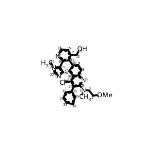 COCCN(C)c1nc2ccc(-c3c(CO)ccnc3-c3cncn3C)cc2c(Cl)c1-c1ccccc1